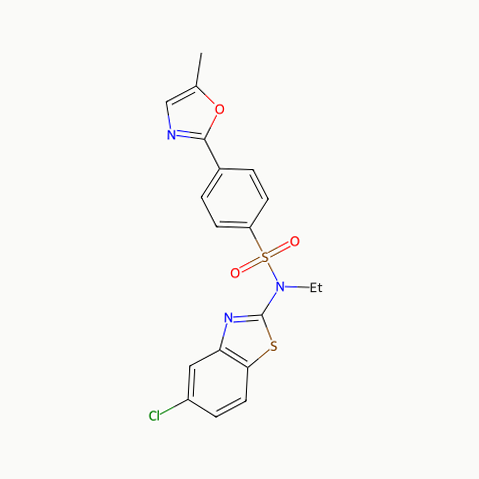 CCN(c1nc2cc(Cl)ccc2s1)S(=O)(=O)c1ccc(-c2ncc(C)o2)cc1